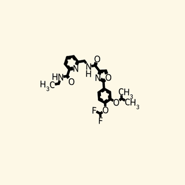 CCNC(=O)c1cccc(CNC(=O)c2coc(-c3ccc(OC(F)F)c(OC(C)C)c3)n2)n1